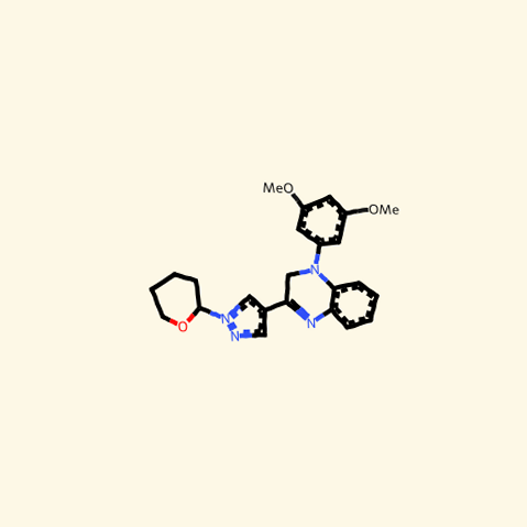 COc1cc(OC)cc(N2CC(c3cnn(C4CCCCO4)c3)=Nc3ccccc32)c1